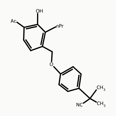 CCCc1c(COc2ccc(C(C)(C)C#N)cc2)ccc(C(C)=O)c1O